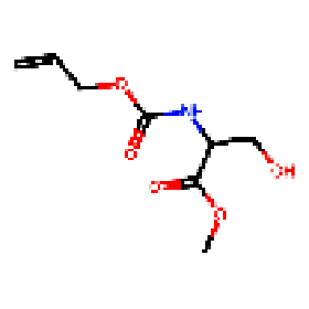 C=CCOC(=O)NC(CO)C(=O)OC